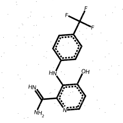 N=C(N)c1nccc(O)c1Nc1ccc(C(F)(F)F)cc1